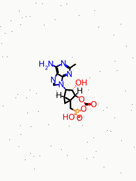 Cc1nc(N)c2ncn([C@H]3[C@H](O)[C@@H]4OC(=O)OP(=O)(O)CC45C[C@H]35)c2n1